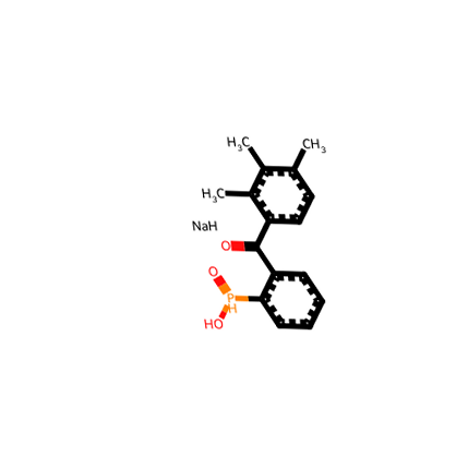 Cc1ccc(C(=O)c2ccccc2[PH](=O)O)c(C)c1C.[NaH]